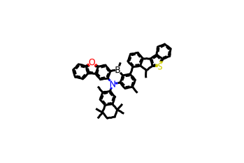 CB1c2cc3oc4ccccc4c3cc2N(c2cc3c(cc2C)C(C)(C)CCC3(C)C)c2cc(C)cc(-c3cccc4c3C(C)c3sc5ccccc5c3-4)c21